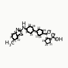 Cc1ccc2nc(Nc3ccc(-c4ccc(C(=O)[C@H]5CCC[C@@H]5C(=O)O)cc4)cc3)sc2c1